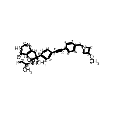 COC1CN(Cc2ccc(C#Cc3ccc(C(C)(CN[C@@H](C)CF)Cc4nc[nH]c(=O)c4O)cc3)cc2)C1